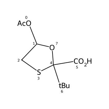 CC(=O)OC1CSC(C(=O)O)(C(C)(C)C)O1